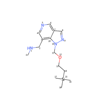 CNCc1cncc2cnn(COCC[Si](C)(C)C)c12